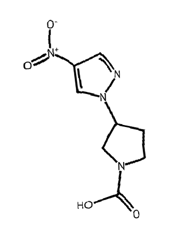 O=C(O)N1CCC(n2cc([N+](=O)[O-])cn2)C1